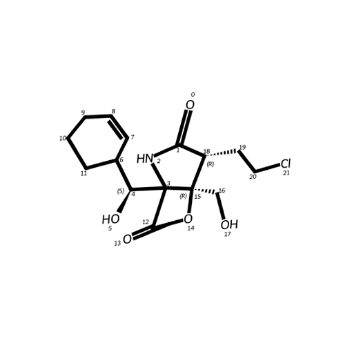 O=C1NC2([C@@H](O)C3C=CCCC3)C(=O)O[C@]2(CO)[C@H]1CCCl